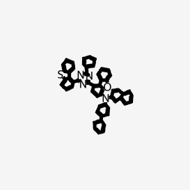 c1ccc(-c2ccc(N(c3ccc4ccccc4c3)c3ccc(-c4nc(-c5ccccc5)nc(-c5cccc6sc7ccccc7c56)n4)c4c3oc3ccccc34)cc2)cc1